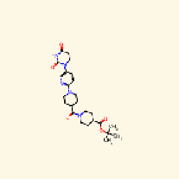 CC(C)(C)OC(=O)C1CCN(C(=O)C2CCN(c3ccc(N4CCC(=O)NC4=O)cn3)CC2)CC1